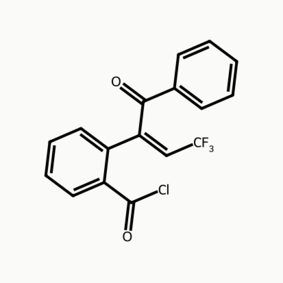 O=C(C(=CC(F)(F)F)c1ccccc1C(=O)Cl)c1ccccc1